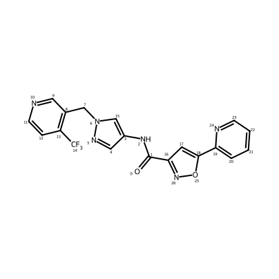 O=C(Nc1cnn(Cc2cnccc2C(F)(F)F)c1)c1cc(-c2ccccn2)on1